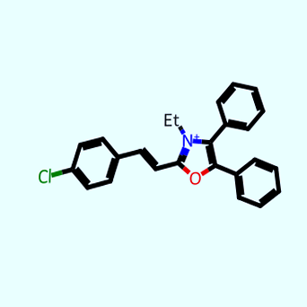 CC[n+]1c(C=Cc2ccc(Cl)cc2)oc(-c2ccccc2)c1-c1ccccc1